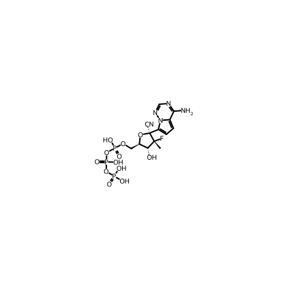 C[C@@]1(F)[C@H](O)[C@@H](COP(=O)(O)OP(=O)(O)OP(=O)(O)O)O[C@@]1(C#N)c1ccc2c(N)ncnn12